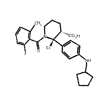 CC[C@]1(c2ccc(NC3CCCC3)cc2)[C@@H](C(=O)O)CCCN1C(=O)c1c(C)cccc1F